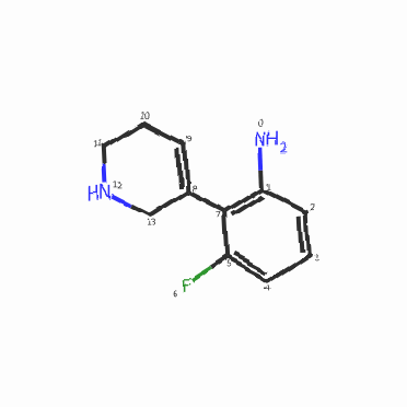 Nc1cccc(F)c1C1=CCCNC1